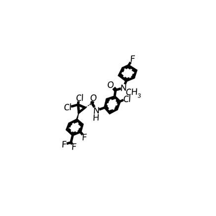 CN(C(=O)c1cc(NC(=O)[C@@H]2[C@@H](c3ccc(C(F)F)c(F)c3)C2(Cl)Cl)ccc1Cl)c1ccc(F)cc1